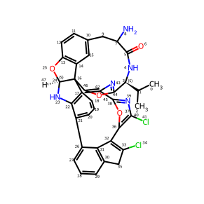 CC(C)[C@@H]1NC(=O)C(N)Cc2ccc3c(c2)C24c5cccc(c5N[C@H]2O3)-c2cccc3c2C(=C(Cl)C3)c2oc(nc2Cl)-c2nc1oc24